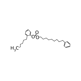 CCCCCCc1ccccc1OC(=O)OCCCCCCCCCc1ccccc1